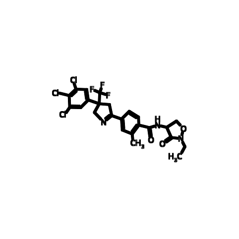 CCN1OCC(NC(=O)c2ccc(C3=NCC(c4cc(Cl)c(Cl)c(Cl)c4)(C(F)(F)F)C3)cc2C)C1=O